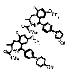 CNC(=O)N1N=C(c2ccc(N3CCC(O)CC3)cc2)c2cc(OC(F)(F)F)cc(F)c2CC1C.CNC(=O)N1N=C(c2ccc(N3CC[C@H](O)C3)cc2)c2cc(OC(F)(F)F)cc(F)c2CC1C